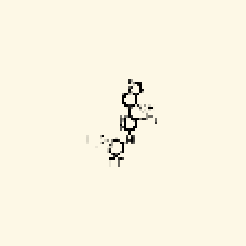 Cc1cc(N[C@@H]2CN(C)CC(F)(F)C2)nnc1-c1ccc2sccc2c1O